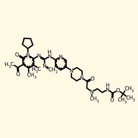 C=N/C(=N\c1c(C)c(C)c(C(C)=O)c(=O)n1C1CCCC1)Nc1ccc(N2CCN(C(=O)CN(C)CCNC(=O)OC(C)(C)C)CC2)cn1